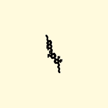 CCCCCc1ccc(-c2ccc(OCC(F)Cc3ccc(CCC)cc3F)c(F)c2)c(F)c1F